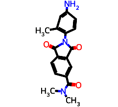 Cc1cc(N)ccc1N1C(=O)c2ccc(C(=O)N(C)C)cc2C1=O